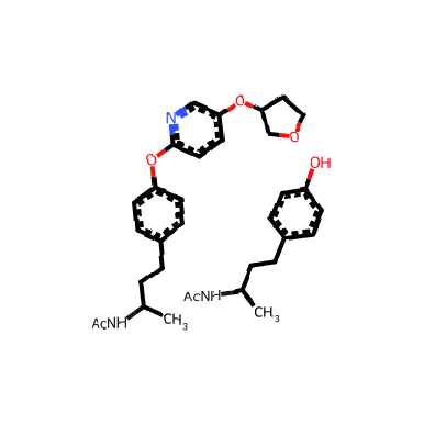 CC(=O)NC(C)CCc1ccc(O)cc1.CC(=O)NC(C)CCc1ccc(Oc2ccc(OC3CCOC3)cn2)cc1